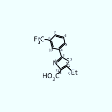 CCc1sc(-c2cccc(C(F)(F)F)c2)nc1C(=O)O